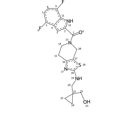 O=C(c1cc2c(F)ccc(F)c2[nH]1)N1CCc2nc(NCC3(CO)CC3)sc2C1